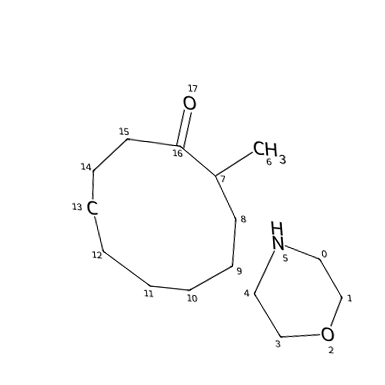 C1COCCN1.CC1CCCCCCCCC1=O